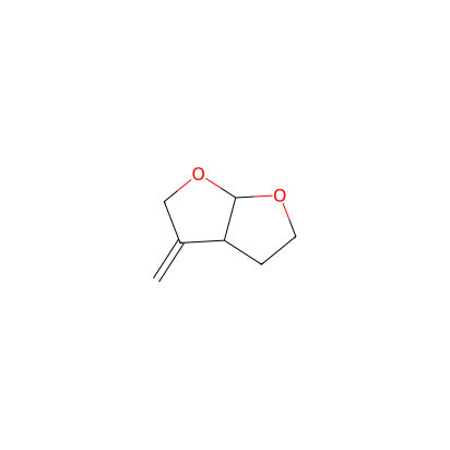 C=C1COC2OCCC12